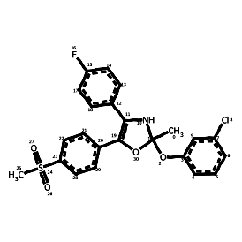 CC1(Oc2cccc(Cl)c2)NC(c2ccc(F)cc2)=C(c2ccc(S(C)(=O)=O)cc2)O1